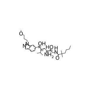 CCCCC(C)(C)C(=O)NC[C@H](O)[C@@H](N)C[C@@H](C(C)C)[C@@H](O)c1ccc2cnn(CCCOC)c2c1